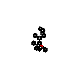 c1ccc(-c2nc(-c3ccc4c(c3)N(c3ccccc3)c3ccccc3C43c4ccccc4N(c4ccccc4)c4ccccc43)nc(-c3cccc4c3oc3c5ccccc5ccc43)n2)cc1